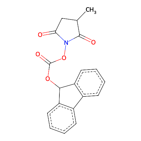 CC1CC(=O)N(OC(=O)OC2c3ccccc3-c3ccccc32)C1=O